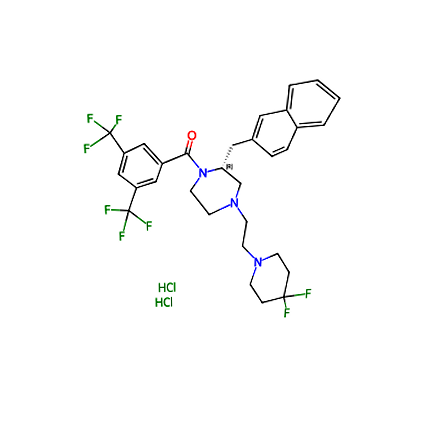 Cl.Cl.O=C(c1cc(C(F)(F)F)cc(C(F)(F)F)c1)N1CCN(CCN2CCC(F)(F)CC2)C[C@H]1Cc1ccc2ccccc2c1